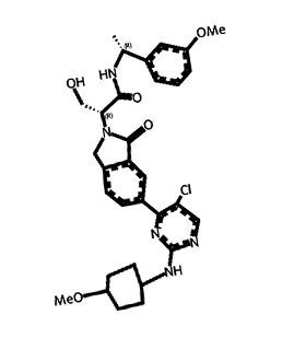 COc1cccc([C@@H](C)NC(=O)[C@@H](CO)N2Cc3ccc(-c4nc(NC5CCC(OC)CC5)ncc4Cl)cc3C2=O)c1